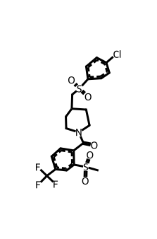 CS(=O)(=O)c1cc(C(F)(F)F)ccc1C(=O)N1CCC(CS(=O)(=O)c2ccc(Cl)cc2)CC1